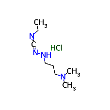 CCN=C=NNCCCN(C)C.Cl